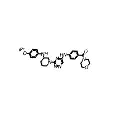 CC(C)Oc1ccc(N[C@@H]2CCCN(c3nncc(Nc4ccc(C(=O)N5CCOCC5)cc4)n3)C2)cc1